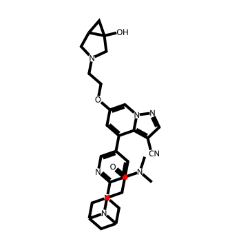 CN(C)C(=O)CCN1C2CC1CN(c1ccc(-c3cc(OCCN4CC5CC5(O)C4)cn4ncc(C#N)c34)cn1)C2